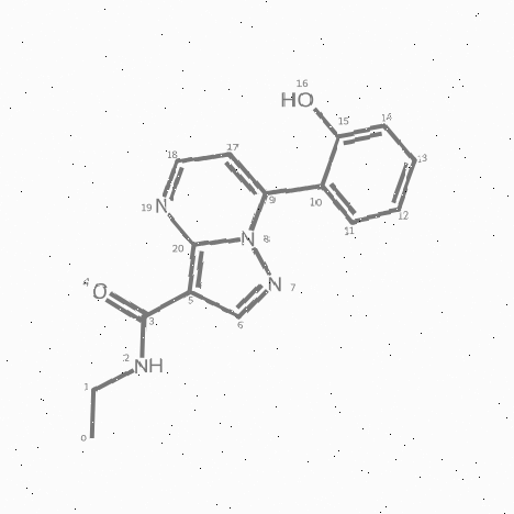 CCNC(=O)c1cnn2c(-c3ccccc3O)ccnc12